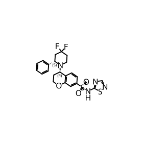 O=S(=O)(Nc1ncns1)c1ccc2c(c1)OCC[C@H]2N1CCC(F)(F)C[C@H]1c1ccccc1